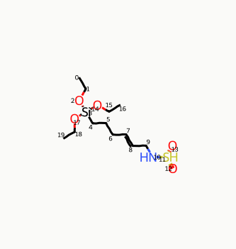 CCO[Si](CCCC=CCN[SH](=O)=O)(OCC)OCC